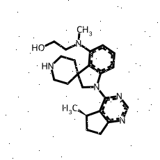 C[C@@H]1CCc2ncnc(N3CC4(CCNCC4)c4c(N(C)CCO)cccc43)c21